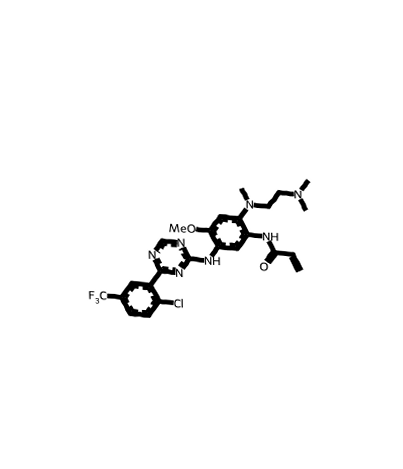 C=CC(=O)Nc1cc(Nc2ncnc(-c3cc(C(F)(F)F)ccc3Cl)n2)c(OC)cc1N(C)CCN(C)C